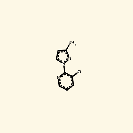 Nc1ccn(-c2ncccc2Cl)n1